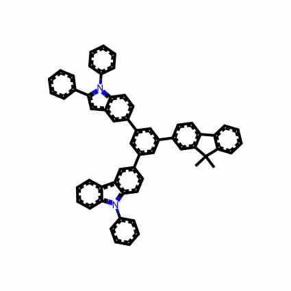 CC1(C)c2ccccc2-c2ccc(-c3cc(-c4ccc5c(c4)cc(-c4ccccc4)n5-c4ccccc4)cc(-c4ccc5c(c4)c4ccccc4n5-c4ccccc4)c3)cc21